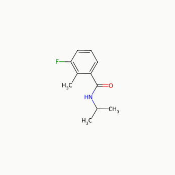 Cc1c(F)cccc1C(=O)NC(C)C